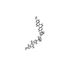 Fc1cc2sc3c4sc(-c5ncc(-c6cnc(-c7cc8sc9c%10sc(F)cc%10sc9c8s7)s6)s5)cc4sc3c2s1